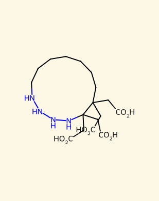 O=C(O)CC1(CC(=O)O)CCCCCCCNNNNC1(CC(=O)O)CC(=O)O